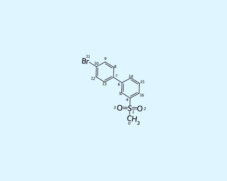 CS(=O)(=O)c1[c]c(-c2ccc(Br)cc2)ccc1